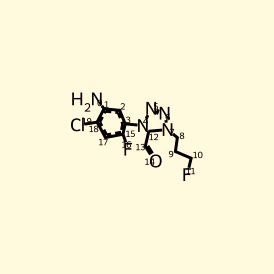 Nc1cc(N2N=NN(CCCF)C2C=O)c(F)cc1Cl